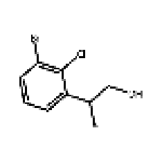 [CH2]C(CO)c1cccc(Br)c1Cl